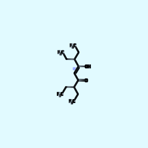 O=C(/C=C(\O)C(CC(F)(F)F)CC(F)(F)F)C(CC(F)(F)F)CC(F)(F)F